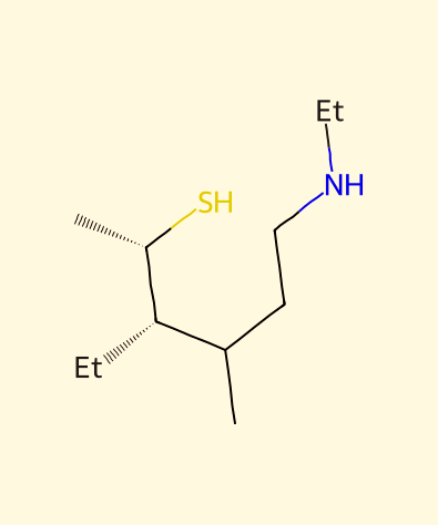 CCNCCC(C)[C@H](CC)[C@H](C)S